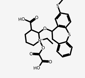 CC[N+]1(OC(=O)C(=O)O)CCCC(C(=O)O)C1OC1Cc2ccccc2Sc2ccc(SC)cc21